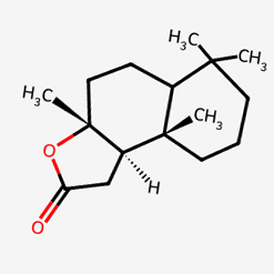 CC1(C)CCC[C@@]2(C)C1CC[C@@]1(C)OC(=O)C[C@@H]12